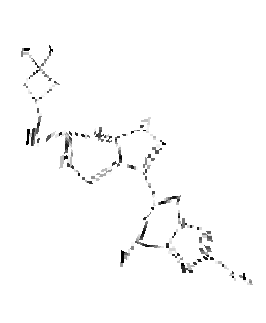 Cc1cn2cc(-c3c[nH]c4nc(NC5CC(F)(F)C5)ncc34)cc(F)c2n1